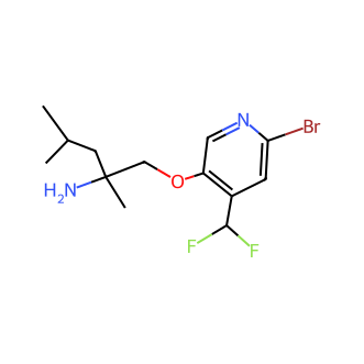 CC(C)CC(C)(N)COc1cnc(Br)cc1C(F)F